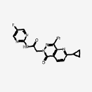 CC(C)c1nn(CC(=O)Nc2ncc(F)cn2)c(=O)c2ccc(C3CC3)nc12